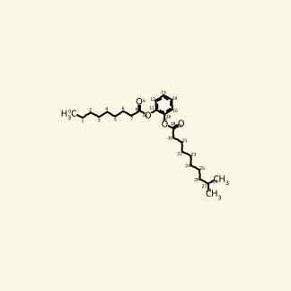 CCCCCCCCC(=O)Oc1ccccc1OC(=O)CCCCCCCC(C)C